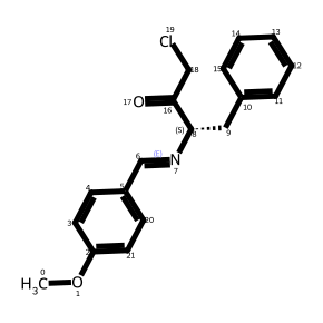 COc1ccc(/C=N/[C@@H](Cc2ccccc2)C(=O)CCl)cc1